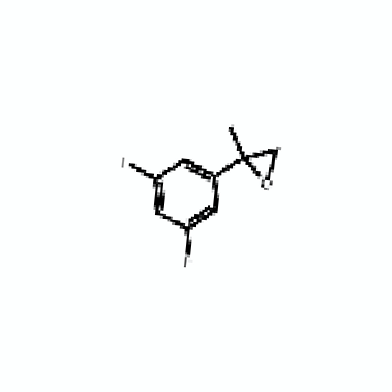 CC1(c2cc(F)cc(F)c2)CO1